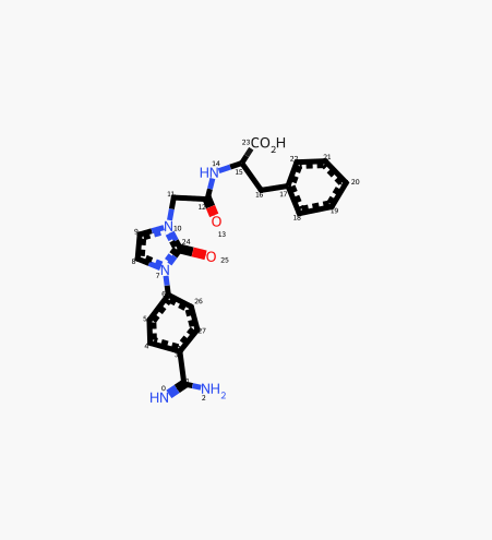 N=C(N)c1ccc(-n2ccn(CC(=O)NC(Cc3ccccc3)C(=O)O)c2=O)cc1